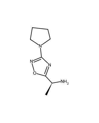 C[C@H](N)c1nc(N2CCCC2)no1